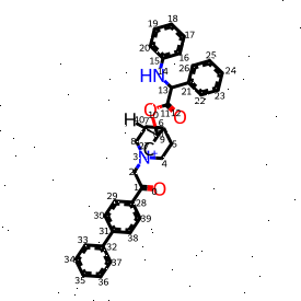 O=C(C[N+]12CCC(CC1)[C@@H](OC(=O)C(Nc1ccccc1)c1ccccc1)C2)c1ccc(-c2ccccc2)cc1